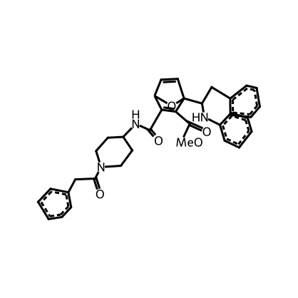 COC(=O)C1=C(C(=O)NC2CCN(C(=O)Cc3ccccc3)CC2)C2C=CC1(C(Cc1ccccc1)Nc1ccccc1)O2